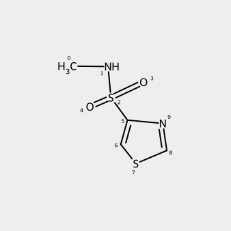 CNS(=O)(=O)c1cscn1